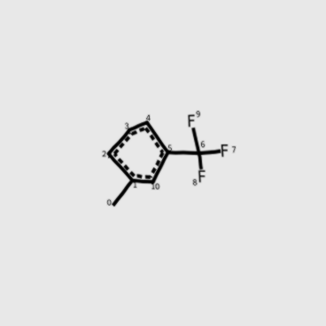 Cc1[c][c]cc(C(F)(F)F)c1